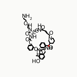 Cc1cc(C[C@@H]2NC(=O)[C@]3(Cc4ccccc4)CCCN(C3)C(=O)/C=C/C(=O)NCC[C@@H](C(=O)NCCOCCN)NC(=O)Cc3ccccc3CNC2=O)ccc1O